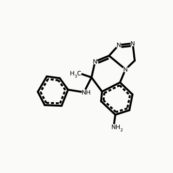 CC1(Nc2ccccc2)N=C2N=NCN2c2ccc(N)cc21